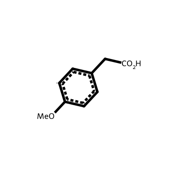 COc1[c]cc(CC(=O)O)cc1